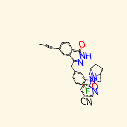 CC#Cc1ccc2c(=O)[nH]nc(Cc3ccc(F)c(C(=O)N4C5CCC4CN(c4ccc(C#N)cn4)C5)c3)c2c1